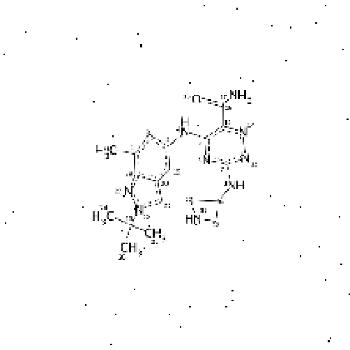 Cc1cc(Nc2nc(NC3CNC3)nnc2C(N)=O)cc2cn(C(C)(C)C)nc12